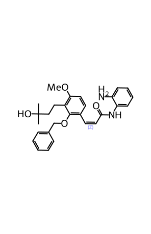 COc1ccc(/C=C\C(=O)Nc2ccccc2N)c(OCc2ccccc2)c1CCC(C)(C)O